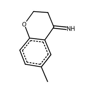 Cc1ccc2c(c1)C(=N)CCO2